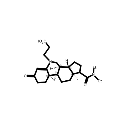 CCN(CC)C(=O)C1CC[C@H]2[C@@H]3CN(CCC(=O)O)C4=CC(=O)CC[C@]4(C)[C@@H]3CC[C@]12C